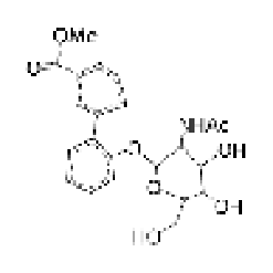 COC(=O)c1cccc(-c2ccccc2OC2OC(CO)C(O)C(O)C2NC(C)=O)c1